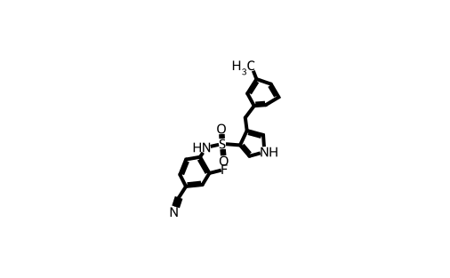 Cc1cccc(Cc2c[nH]cc2S(=O)(=O)Nc2ccc(C#N)cc2F)c1